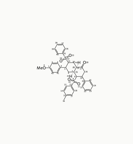 COc1ccc(C2C[C@@H]3C(S(=O)(=O)c4ccc(C)cc4)C(c4ccccc4)CC(=O)[C@@H]3CC2S(=O)(=O)c2ccccc2)cc1